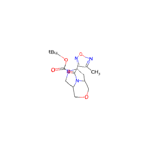 Cc1nonc1C(=O)N1C2CCN(C(=O)OC(C)(C)C)CC1COC2